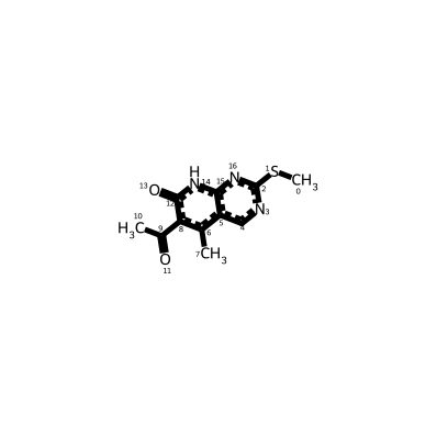 CSc1ncc2c(C)c(C(C)=O)c(=O)[nH]c2n1